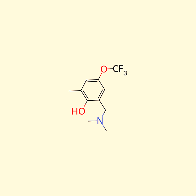 Cc1cc(OC(F)(F)F)cc(CN(C)C)c1O